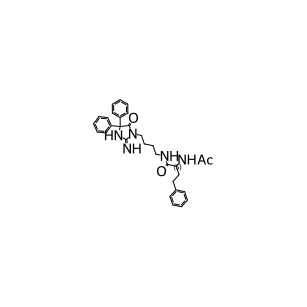 CC(=O)N[C@@H](CCc1ccccc1)C(=O)NCCCCN1C(=N)NC(c2ccccc2)(c2ccccc2)C1=O